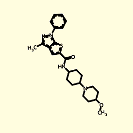 COC1CCN(C2CCC(NC(=O)c3cc4c(C)nn(-c5ccccc5)c4s3)CC2)CC1